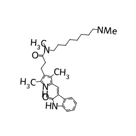 CNCCCCCCCCN(C)C(=O)CCc1c(C)[nH]c(/C=C2\C(=O)Nc3ccccc32)c1C